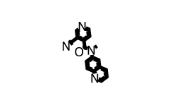 CN(C(=O)c1ccncc1C#N)c1ccc2ncccc2c1